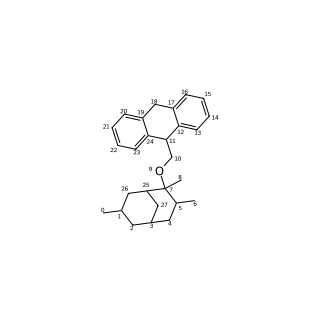 CC1CC2CC(C)C(C)(OCC3c4ccccc4Cc4ccccc43)C(C1)C2